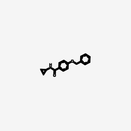 O=C(NC1CC1)c1ccc(OCc2ccccc2)cc1